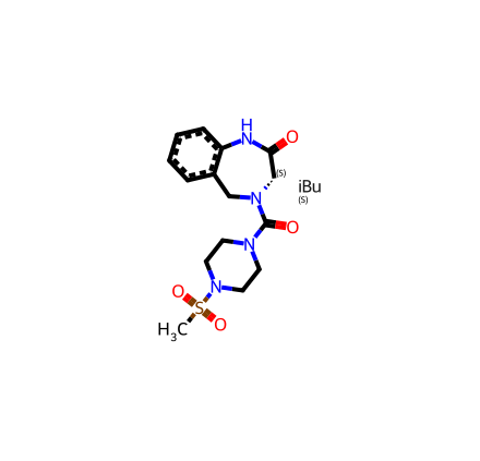 CC[C@H](C)[C@H]1C(=O)Nc2ccccc2CN1C(=O)N1CCN(S(C)(=O)=O)CC1